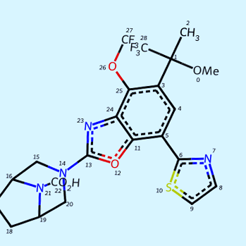 COC(C)(c1cc(-c2nccs2)c2oc(N3CC4CCC(C3)N4C(=O)O)nc2c1OC(F)(F)F)C(F)(F)F